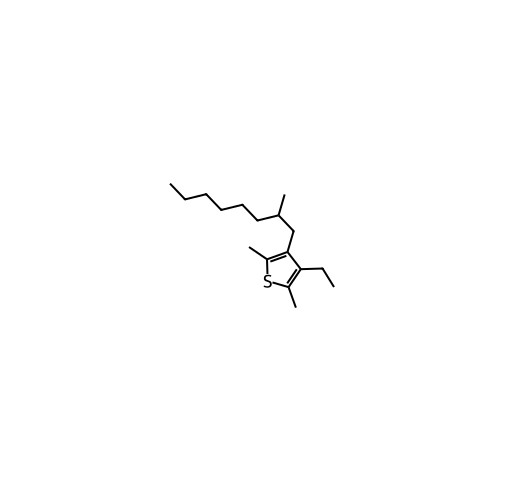 CCCCCCC(C)Cc1c(C)sc(C)c1CC